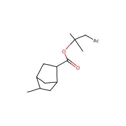 CC(=O)CC(C)(C)OC(=O)C1CC2CC1CC2C